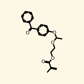 C=C(C)C(=O)OCCOC(C)Oc1ccc(C(=O)c2ccccc2)cc1